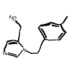 Cc1ccc(Cn2cncc2CO)cc1